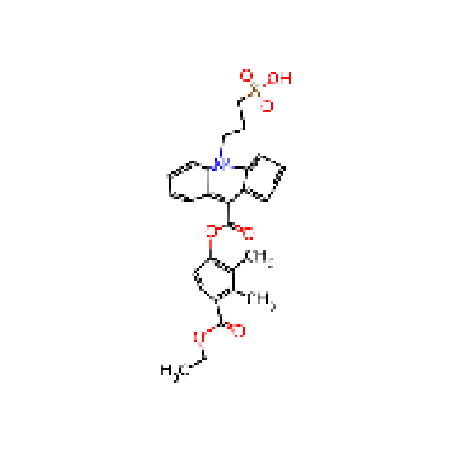 CCOC(=O)c1ccc(OC(=O)c2c3ccccc3[n+](CCCS(=O)(=O)O)c3ccccc23)c(C)c1C